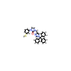 CSc1cccc(N2CCN(Cc3cn(C(c4ccccc4)(c4ccccc4)c4ccccc4)cn3)C2=O)c1